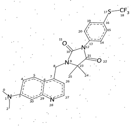 CN(C)c1ccc2c(CN3C(=O)N(c4ccc(SC(F)(F)F)cc4)C(=O)C3(C)C)ccnc2c1